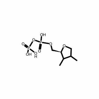 CC1CO[C@H](COP(=O)(O)OP(=O)(O)O)C1C